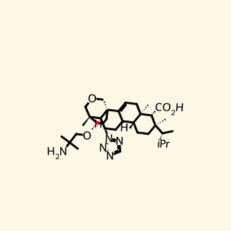 CC(C)[C@@H](C)[C@@]1(C)CC[C@]2(C)[C@H]3CC[C@@H]4[C@@]5(COC[C@@]4(C)[C@@H](OCC(C)(C)N)[C@H](n4ncnn4)C5)C3=CC[C@@]2(C)[C@@H]1C(=O)O